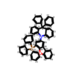 c1ccc(C2(c3ccccc3)c3ccccc3N(c3cc(S(c4ccccc4)(c4ccccc4)c4ccccc4)c4oc5ccccc5c4c3)c3ccccc32)cc1